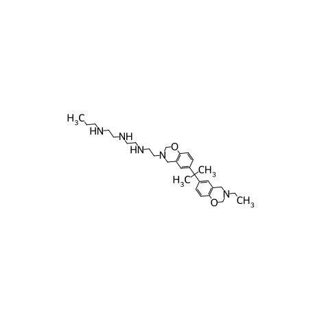 CCCNCCNCCNCCN1COc2ccc(C(C)(C)c3ccc4c(c3)CN(CC)CO4)cc2C1